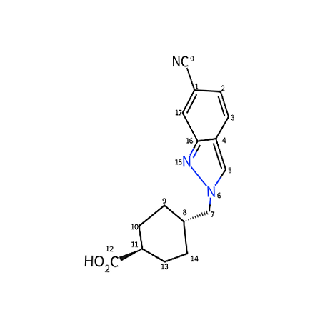 N#Cc1ccc2cn(C[C@H]3CC[C@H](C(=O)O)CC3)nc2c1